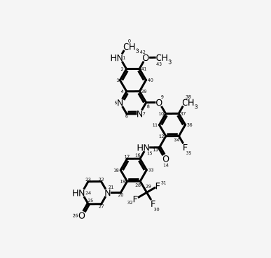 CNc1cc2ncnc(Oc3cc(C(=O)Nc4ccc(CN5CCNC(=O)C5)c(C(F)(F)F)c4)c(F)cc3C)c2cc1OC